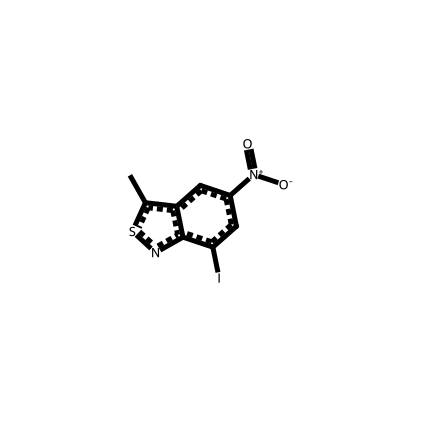 Cc1snc2c(I)cc([N+](=O)[O-])cc12